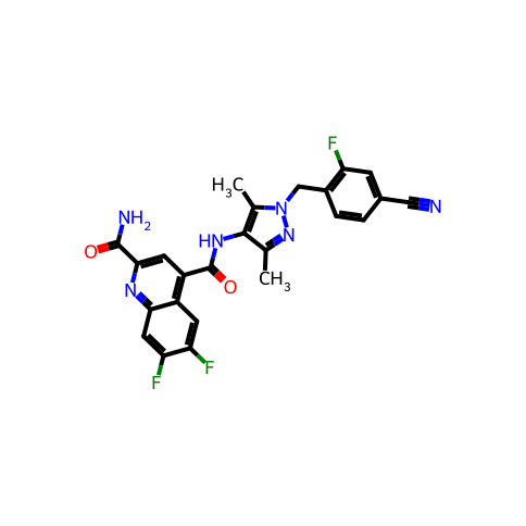 Cc1nn(Cc2ccc(C#N)cc2F)c(C)c1NC(=O)c1cc(C(N)=O)nc2cc(F)c(F)cc12